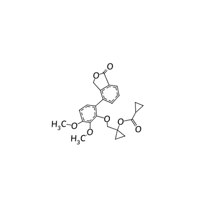 COc1ccc(-c2cccc3c2COC3=O)c(OCC2(OC(=O)C3CC3)CC2)c1OC